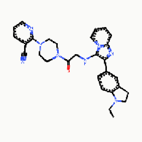 CCN1CCc2cc(-c3nc4ccccn4c3NCC(=O)N3CCN(c4ncccc4C#N)CC3)ccc21